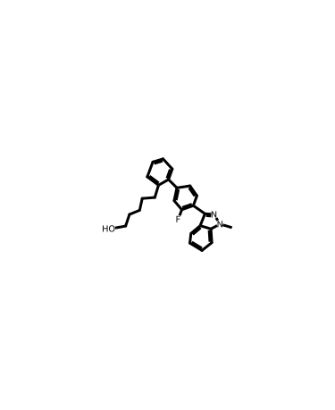 Cn1nc(-c2ccc(-c3ccccc3CCCCCO)cc2F)c2ccccc21